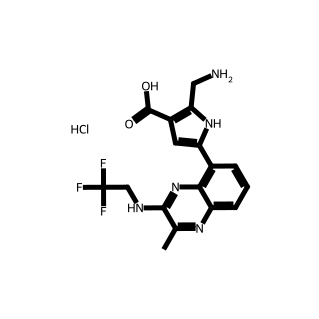 Cc1nc2cccc(-c3cc(C(=O)O)c(CN)[nH]3)c2nc1NCC(F)(F)F.Cl